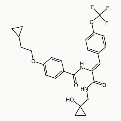 O=C(NCC1(O)CC1)C(=Cc1ccc(OC(F)(F)F)cc1)NC(=O)c1ccc(OCCC2CC2)cc1